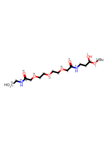 CC(C)(C)OC(O)CCNC(=O)COCCOCCOCC(=O)NCC(=O)O